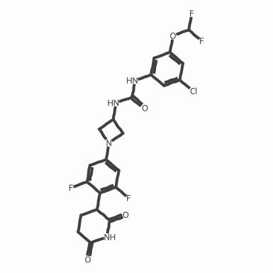 O=C1CCC(c2c(F)cc(N3CC(NC(=O)Nc4cc(Cl)cc(OC(F)F)c4)C3)cc2F)C(=O)N1